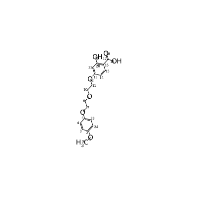 COc1ccc(OCCOCCOc2ccc(C(=O)O)c(O)c2)cc1